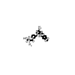 C[C@H](NC(=O)O)C(=O)N1CCCC(Cn2cnc(N)c3nc(Sc4cc5c(cc4Br)OCO5)nc2-3)C1